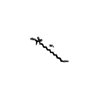 CCCCCCCCCCCCCCCCCCCCCCOS(=O)(=O)C(F)CCCCCCCCCC.N